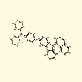 c1ccc(C(c2ccccc2)c2ccc(-c3ccc4c(c3)c3ccccc3n4-c3cccc4ccccc34)cc2)cc1